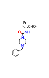 CC(C)C[C@@H]([C]=O)NC(=O)N1CCN(Cc2ccccc2)CC1